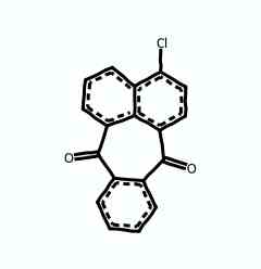 O=C1c2ccccc2C(=O)c2ccc(Cl)c3cccc1c23